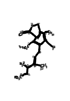 CCc1c(C)c2c(c(C(=O)O)c1C/C=C(\C)C(C)CC(=O)O)C(=O)OC2